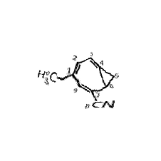 CC1=CC=C2CC2C(C#N)=C1